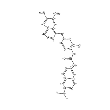 COc1cc2ncnc(Oc3ccc(NC(=O)Nc4ccc5nc(N(C)C)ccc5c4)c(Cl)c3)c2cc1OC